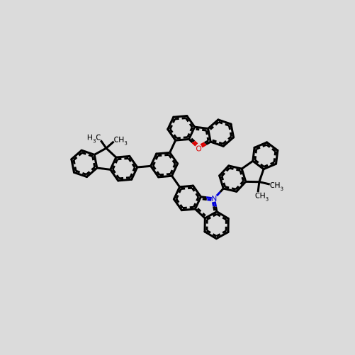 CC1(C)c2ccccc2-c2ccc(-c3cc(-c4ccc5c6ccccc6n(-c6ccc7c(c6)C(C)(C)c6ccccc6-7)c5c4)cc(-c4cccc5c4oc4ccccc45)c3)cc21